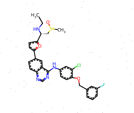 CCN[C@H](C[S+](C)[O-])c1ccc(-c2ccc3ncnc(Nc4ccc(OCc5cccc(F)c5)c(Cl)c4)c3c2)o1